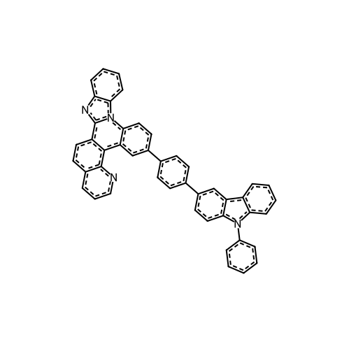 c1ccc(-n2c3ccccc3c3cc(-c4ccc(-c5ccc6c(c5)c5c(ccc7cccnc75)c5nc7ccccc7n65)cc4)ccc32)cc1